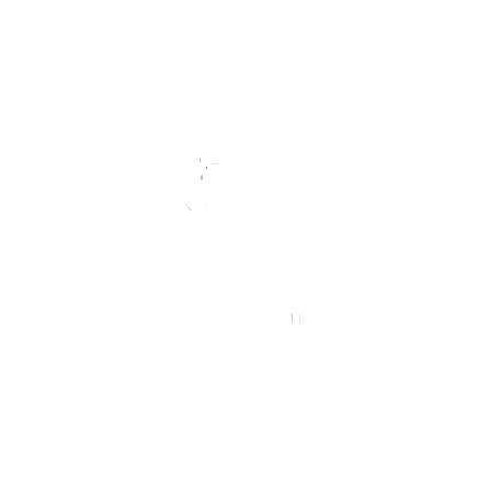 CCCCCCCCCCC12C=CC(C1)C(=N)C2